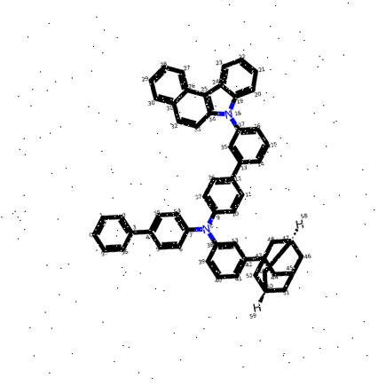 c1ccc(-c2ccc(N(c3ccc(-c4cccc(-n5c6ccccc6c6c7ccccc7ccc65)c4)cc3)c3cccc(C45CC6C[C@H](C4)C[C@H](C6)C5)c3)cc2)cc1